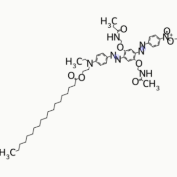 CCCCCCCCCCCCCCCCCCC(=O)OCCN(CC)c1ccc(/N=N/c2cc(OCNC(C)=O)c(/N=N/c3ccc([N+](=O)[O-])cc3)cc2OCNC(=O)CC)cc1